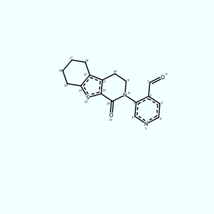 O=Cc1ccncc1N1CCc2c(sc3c2CCCC3)C1=O